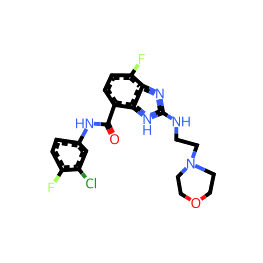 O=C(Nc1ccc(F)c(Cl)c1)c1ccc(F)c2nc(NCCN3CCOCC3)[nH]c12